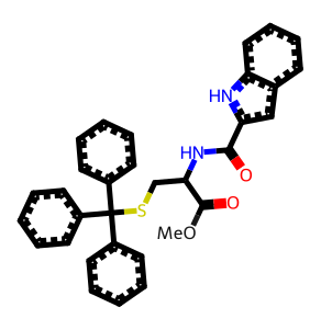 COC(=O)C(CSC(c1ccccc1)(c1ccccc1)c1ccccc1)NC(=O)c1cc2ccccc2[nH]1